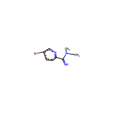 CN(C)C(=N)c1ccc(Br)cn1